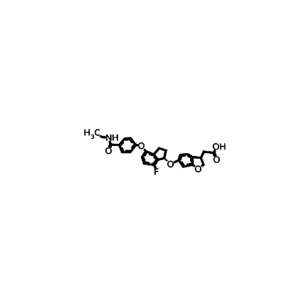 CCNC(=O)c1ccc(Oc2ccc(F)c3c2CC[C@H]3Oc2ccc3c(c2)OCC3CC(=O)O)cc1